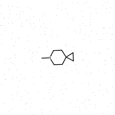 CN1CCC2(CC1)CC2